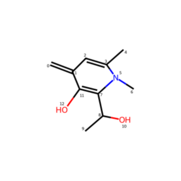 C=C1C=C(C)N(C)C(C(C)O)=C1O